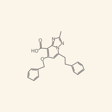 Cc1nc2c(C(=O)O)c(OCc3ccccc3)cc(CCc3ccccc3)n2n1